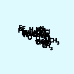 CCOc1cc(C(=O)Nc2cc(C(F)(F)F)ccn2)cc(F)c1-c1nc([C@H]2CN(C(=O)[C@H](C)O)[C@@H](C)CO2)n2c(Cl)cnc(N)c12